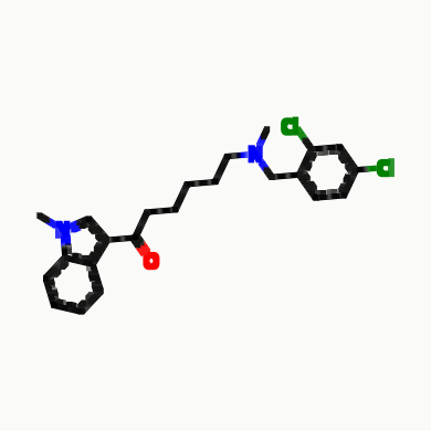 CN(CCCCCC(=O)c1cn(C)c2ccccc12)Cc1ccc(Cl)cc1Cl